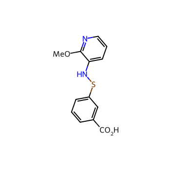 COc1ncccc1NSc1cccc(C(=O)O)c1